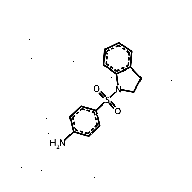 Nc1ccc(S(=O)(=O)N2CCc3ccccc32)cc1